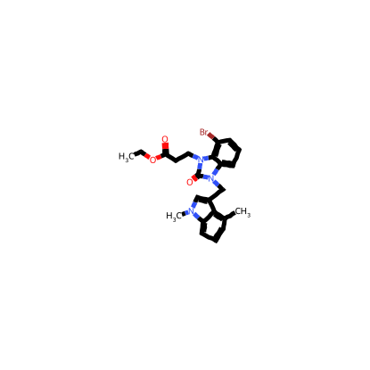 CCOC(=O)CCn1c(=O)n(Cc2cn(C)c3cccc(C)c23)c2cccc(Br)c21